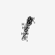 CCNCCNC(=O)c1ccc(NC(=O)C[C@H]2CC[C@H]3[C@@H]4CC[C@H]5NOC=C[C@]5(C)[C@H]4CC[C@]23C)nc1